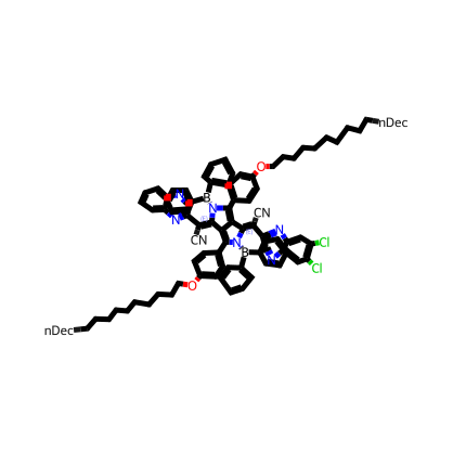 CCCCCCCCCCCCCCCCCCCCOc1ccc(-c2c3/c(=C(\C#N)c4cnc5cc(Cl)c(Cl)cc5n4)n(B(c4ccccc4)c4ccccc4)c(-c4ccc(OCCCCCCCCCCCCCCCCCCCC)cc4)c3/c(=C(\C#N)c3cnc4ccccc4n3)n2B(c2ccccc2)c2ccccc2)cc1